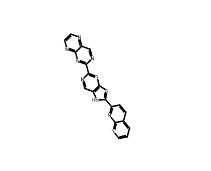 c1cnc2nc(-c3nc4nc(-c5ncc6nccnc6n5)ncc4[nH]3)ccc2c1